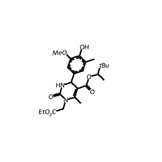 CCOC(=O)CN1C(=O)NC(c2cc(C)c(O)c(OC)c2)C(C(=O)OC(C)C(C)(C)C)=C1C